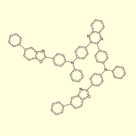 c1ccc(-c2ccc3oc(-c4ccc(N(c5ccccc5)c5ccc(-c6nc7ccccc7nc6-c6ccc(N(c7ccccc7)c7ccc(-c8nc9cc(-c%10ccccc%10)ccc9o8)cc7)cc6)cc5)cc4)nc3c2)cc1